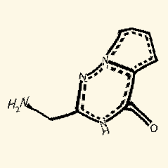 NCc1nn2cccc2c(=O)[nH]1